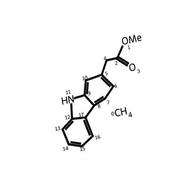 C.COC(=O)Cc1ccc2c(c1)[nH]c1ccccc12